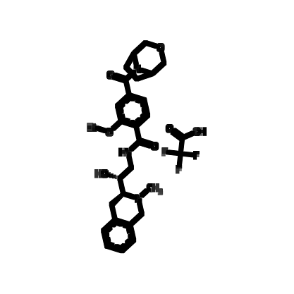 CCOc1cc(C(=O)N2C3CCC2COC3)ccc1C(=O)NC[C@@H](O)[C@@H]1Cc2ccccc2CN1C.O=C(O)C(F)(F)F